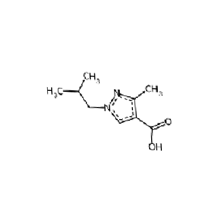 Cc1nn(CC(C)C)cc1C(=O)O